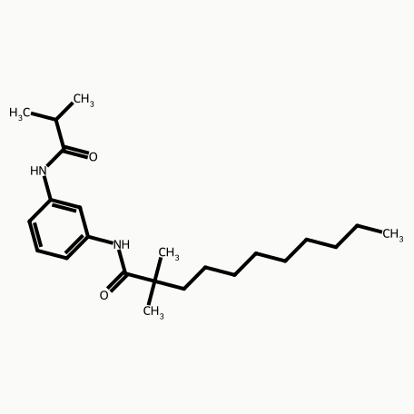 CCCCCCCCCC(C)(C)C(=O)Nc1cccc(NC(=O)C(C)C)c1